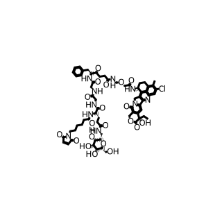 CC[C@@]1(O)C(=O)OCc2c1cc1n(c2=O)Cc2c-1nc1cc(Cl)c(C)c3c1c2[C@@H](NC(=O)COCNC(=O)CCC(=O)[C@H](Cc1ccccc1)NC(=O)CNC(=O)CNC(=O)[C@H](CCC(=O)NC[C@@H]1O[C@H](CO)[C@@H](O)[C@H](O)[C@H]1O)NC(=O)CCCCCN1C(=O)C=CC1=O)CC3